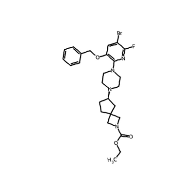 CCOC(=O)N1CC2(CC[C@@H](N3CCN(c4nc(F)c(Br)cc4OCc4ccccc4)CC3)C2)C1